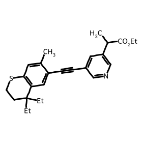 CCOC(=O)C(C)c1cncc(C#Cc2cc3c(cc2C)SCCC3(CC)CC)c1